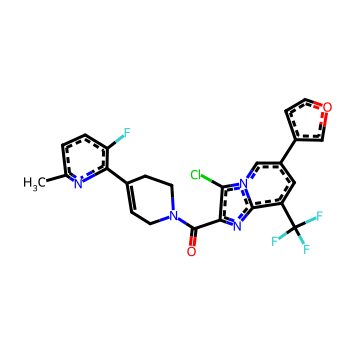 Cc1ccc(F)c(C2=CCN(C(=O)c3nc4c(C(F)(F)F)cc(-c5ccoc5)cn4c3Cl)CC2)n1